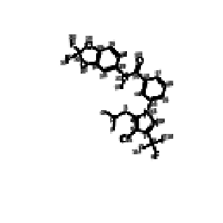 CC(C)Cc1c(Cl)c(C(F)(F)F)nn1-c1cccc(C(=O)N(C)c2ccc3c(c2)OC(F)(F)O3)c1